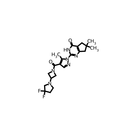 Cc1c(C(=O)N2CC(N3CCC(F)(F)C3)C2)cnn1-c1nc2c(c(=O)[nH]1)CC(C)(C)C2